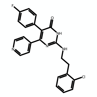 O=c1[nH]c(NCCc2ccccc2Cl)nc(-c2ccncc2)c1-c1ccc(F)cc1